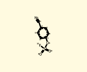 N#Cc1ccc(OS(=O)(=O)F)cc1